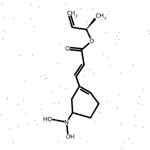 C=C[C@@H](C)OC(=O)/C=C/C1=CCCC(N(O)O)C1